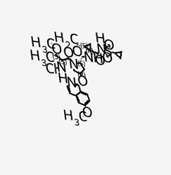 C=C[C@@H]1C[C@]1(NC(=O)[C@@H]1C[C@@H](Oc2nccc3cc(OC)ccc23)CN1C(=O)[C@@H](NCl)[C@H](C)OC)C(=O)NS(=O)(=O)C1CC1